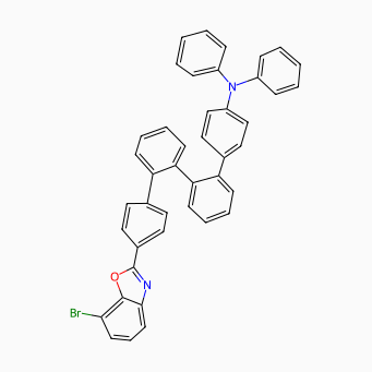 Brc1cccc2nc(-c3ccc(-c4ccccc4-c4ccccc4-c4ccc(N(c5ccccc5)c5ccccc5)cc4)cc3)oc12